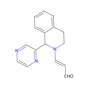 O=CC=CN1CCc2ccccc2C1c1cnccn1